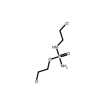 NP(=O)(NCCCl)OCCCl